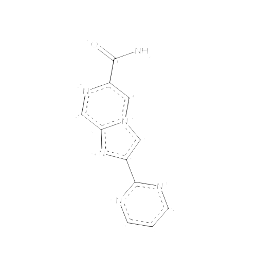 NC(=O)c1cn2cc(-c3ncccn3)nc2cn1